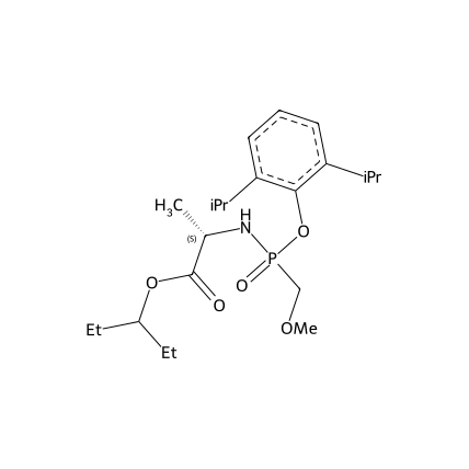 CCC(CC)OC(=O)[C@H](C)NP(=O)(COC)Oc1c(C(C)C)cccc1C(C)C